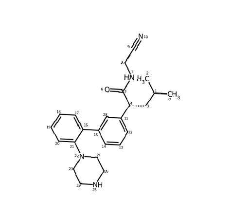 CC(C)C[C@@H](C(=O)NCC#N)c1cccc(-c2ccccc2N2CCNCC2)c1